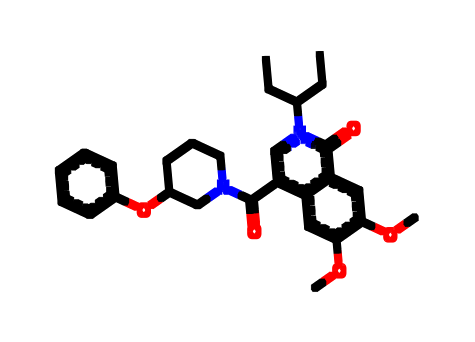 CCC(CC)n1cc(C(=O)N2CCCC(Oc3ccccc3)C2)c2cc(OC)c(OC)cc2c1=O